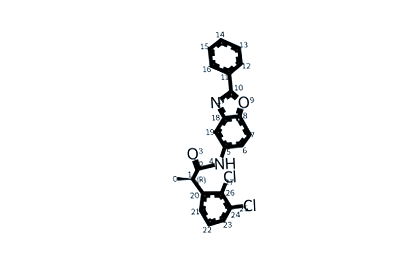 C[C@@H](C(=O)Nc1ccc2oc(-c3ccccc3)nc2c1)c1cccc(Cl)c1Cl